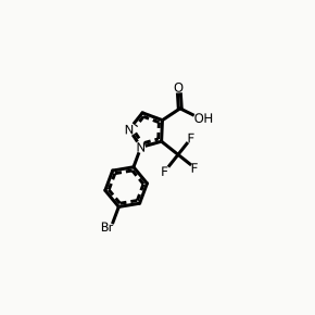 O=C(O)c1cnn(-c2ccc(Br)cc2)c1C(F)(F)F